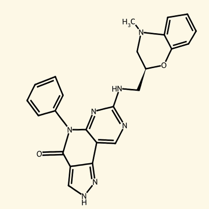 CN1C[C@H](CNc2ncc3c4n[nH]cc4c(=O)n(-c4ccccc4)c3n2)Oc2ccccc21